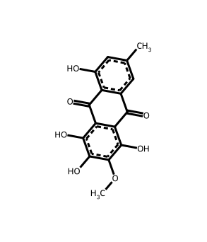 COc1c(O)c(O)c2c(c1O)C(=O)c1cc(C)cc(O)c1C2=O